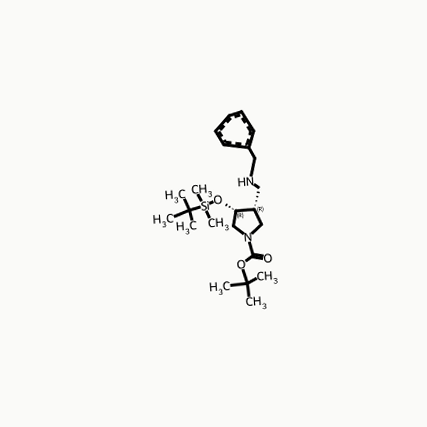 CC(C)(C)OC(=O)N1C[C@@H](CNCc2ccccc2)[C@@H](O[Si](C)(C)C(C)(C)C)C1